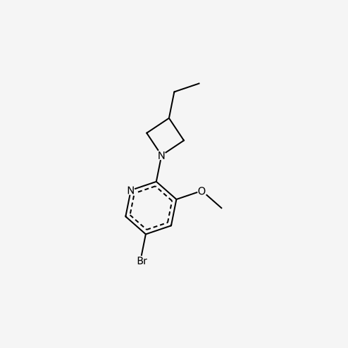 CCC1CN(c2ncc(Br)cc2OC)C1